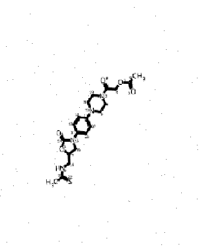 CC(=O)OCC(=O)N1CCN(c2ccc(N3CC(CNC(C)=S)OC3=O)cc2)CC1